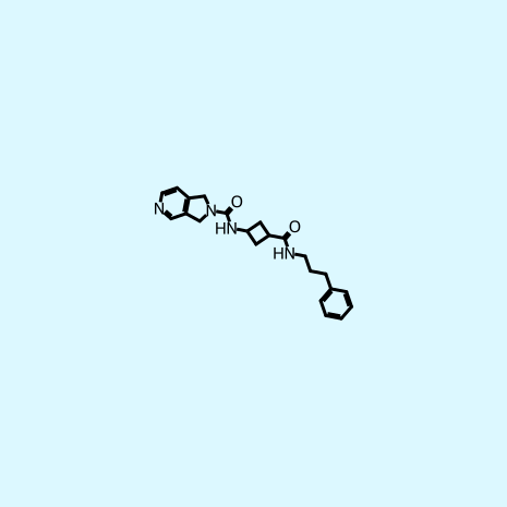 O=C(NCCCc1ccccc1)C1CC(NC(=O)N2Cc3ccncc3C2)C1